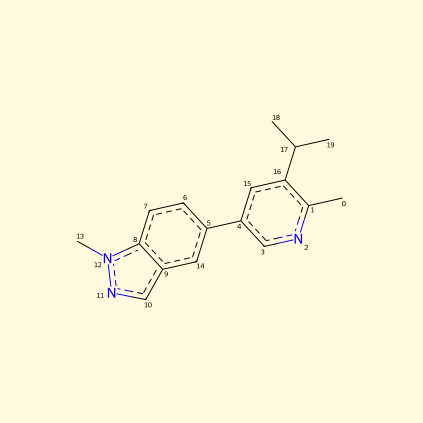 Cc1ncc(-c2ccc3c(cnn3C)c2)cc1C(C)C